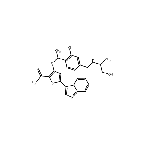 CC(CO)NCc1ccc(C(C)Oc2cc(-c3cnc4ccccn34)sc2C(N)=O)c(Cl)c1